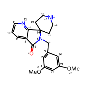 COc1cc(CN2C(=O)c3cccnc3C23C[CH]NCC3)cc(OC)c1